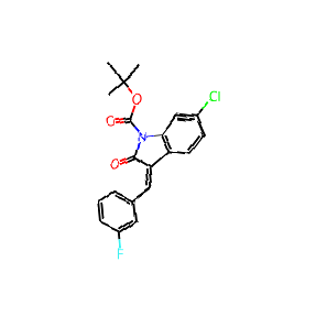 CC(C)(C)OC(=O)N1C(=O)C(=Cc2cccc(F)c2)c2ccc(Cl)cc21